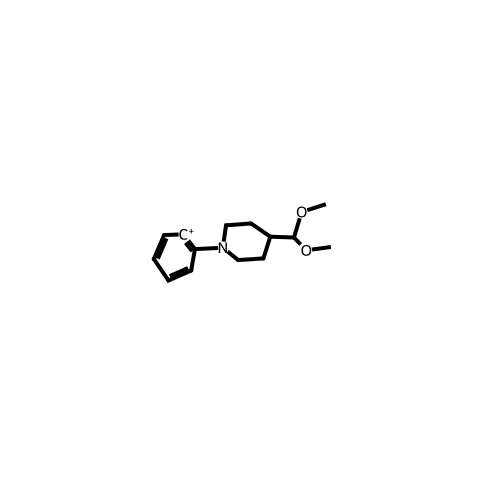 COC(OC)C1CCN(C2=[C+]C=CC=C2)CC1